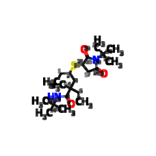 CCC(CC(C)(CC)C(=O)NC(C)(C)C)SC1CC(=O)N(C(C)(C)C)C1=O